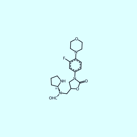 O=CN(CC1CN(c2ccc(N3CCOCC3)c(F)c2)C(=O)O1)[C@H]1CCCN1